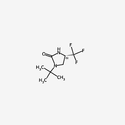 CC(C)(C)N1C[C@@H](C(F)(F)F)NC1=O